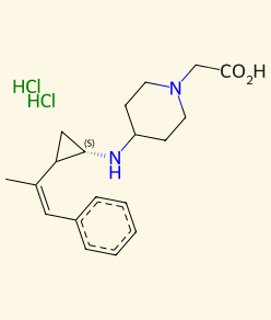 CC(=Cc1ccccc1)C1C[C@@H]1NC1CCN(CC(=O)O)CC1.Cl.Cl